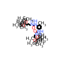 Cc1ccc(NC(=O)NCC(C)[Si](C)(O[Si](C)(C)C)O[Si](C)(C)C)cc1NC(=O)NCCC[Si](C)(O[Si](C)(C)C)O[Si](C)(C)C